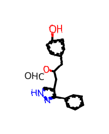 O=COC(Cc1ccc(O)cc1)Cc1c[nH]nc1-c1ccccc1